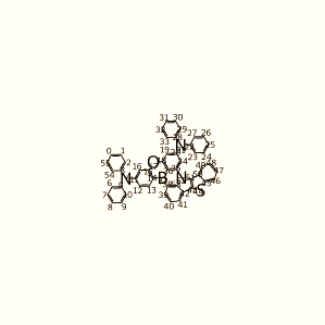 c1ccc(N(c2ccccc2)c2ccc3c(c2)Oc2cc(N(c4ccccc4)c4ccccc4)cc4c2B3c2cccc3c5sc6ccccc6c5n-4c23)cc1